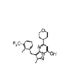 Cc1nn2c(O)cc(C3CCOCC3)nc2c1Cc1cccc(C(F)(F)F)c1C